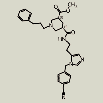 COC(=O)[C@H]1C[C@@H](C(=O)NCCc2cncn2Cc2ccc(C#N)cc2)CN(CCCc2ccccc2)C1